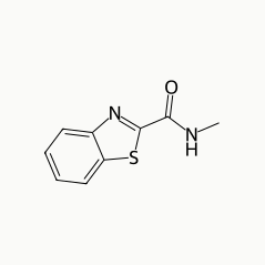 CNC(=O)c1nc2ccccc2s1